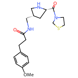 COc1ccc(CCC(=O)NC[C@@H]2CN[C@H](C(=O)N3CCSC3)C2)cc1